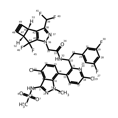 Cn1nc(NS(C)(=O)=O)c2c(Cl)ccc(-c3ccc(Cl)nc3[C@H](Cc3cc(F)cc(F)c3)NC(=O)Cn3nc(C(F)F)c4c3C(F)(F)[C@@H]3C#C[C@H]43)c21